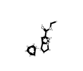 CCOC(=O)c1cc2n(n1)CC[C@@H]2c1ccccc1